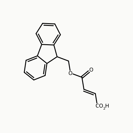 O=C(O)/C=C/C(=O)OCC1c2ccccc2-c2ccccc21